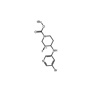 CC(C)(C)OC(=O)N1CCC(Nc2cncc(Br)c2)[C@@H](F)C1